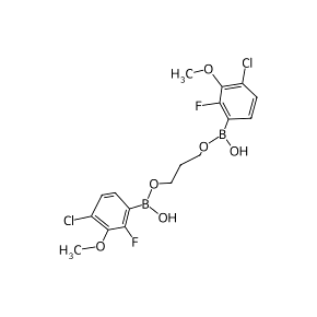 COc1c(Cl)ccc(B(O)OCCCOB(O)c2ccc(Cl)c(OC)c2F)c1F